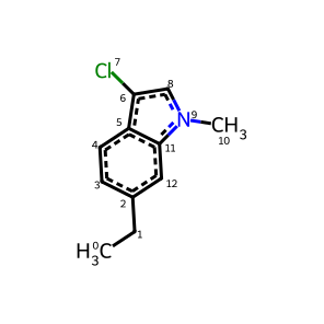 CCc1ccc2c(Cl)cn(C)c2c1